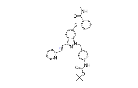 CNC(=O)c1ccccc1Sc1ccc2c(/C=C/c3ccccn3)nn(Cc3ccc(NC(=O)OC(C)(C)C)cc3)c2c1